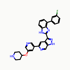 Fc1cccc(-c2cccc3[nH]c(-c4n[nH]c5cnc(-c6cncc(OC7CCNCC7)c6)cc45)nc23)c1